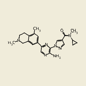 Cc1cc(-c2cnc(N)c(-n3cc(C(=O)N(C)C4CC4)cn3)n2)cc2c1CCN(C)C2